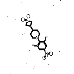 O=[N+]([O-])c1cc(F)c(N2CCC(C3CS(=O)(=O)C3)CC2)c(F)c1